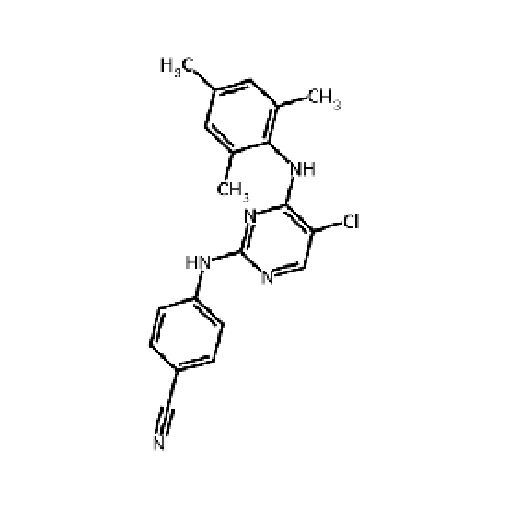 Cc1cc(C)c(Nc2nc(Nc3ccc(C#N)cc3)ncc2Cl)c(C)c1